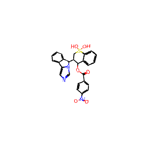 O=C(OC1c2ccccc2S(O)(O)CC1C1c2ccccc2-c2cncn21)c1ccc([N+](=O)[O-])cc1